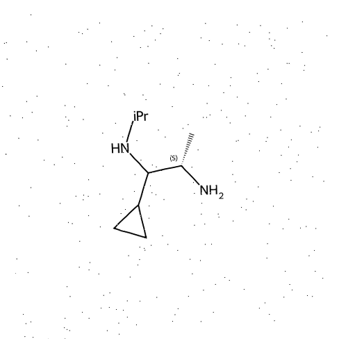 CC(C)NC(C1CC1)[C@H](C)N